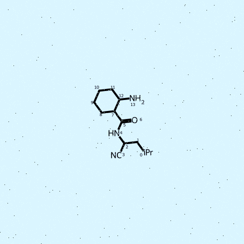 CC(C)CC(C#N)NC(=O)C1CCCCC1N